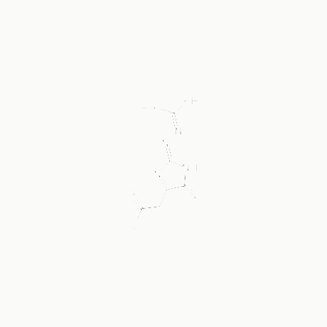 CC(C)=NN=C1N=C(CC(=O)O)C(=O)N1